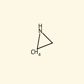 C.C1CN1